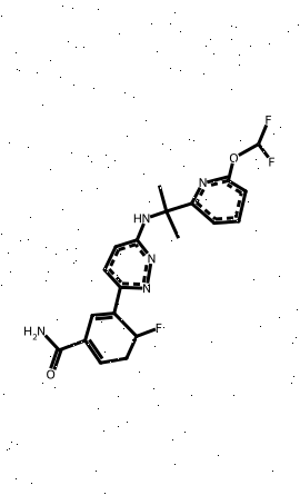 CC(C)(Nc1ccc(C2=CC(C(N)=O)=CCC2F)nn1)c1cccc(OC(F)F)n1